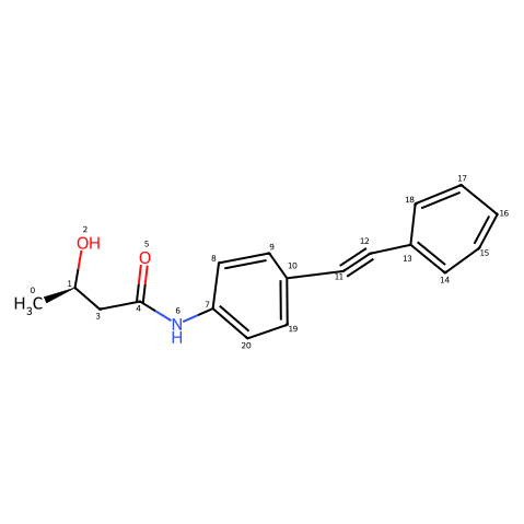 C[C@@H](O)CC(=O)Nc1ccc(C#Cc2ccccc2)cc1